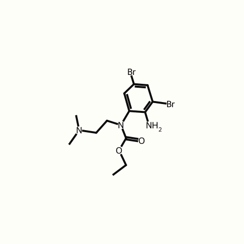 CCOC(=O)N(CCN(C)C)c1cc(Br)cc(Br)c1N